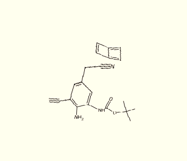 C#Cc1cc(CC#N)cc(NC(=O)OC(C)(C)C)c1N.c1cc2ccc1-2